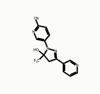 N#Cc1ccc(N2N=C(c3cccnc3)CC2(O)C(F)(F)F)cn1